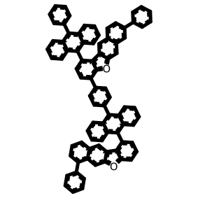 c1ccc(-c2ccc3cc4c(cc3c2)oc2c(-c3ccc(-c5c6ccccc6c(-c6cccc7oc8cc9c(-c%10ccccc%10)cccc9cc8c67)c6ccccc56)cc3)ccc(-c3c5ccccc5c(-c5ccccc5)c5ccccc35)c24)cc1